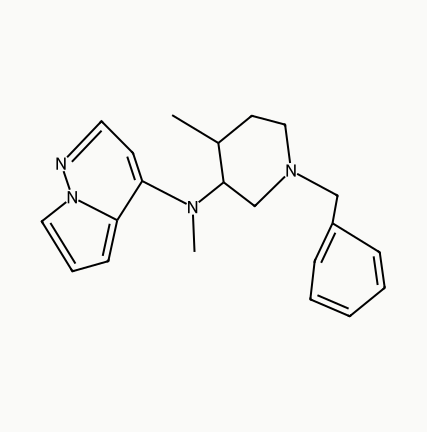 CC1CCN(Cc2ccccc2)CC1N(C)c1ccnn2cccc12